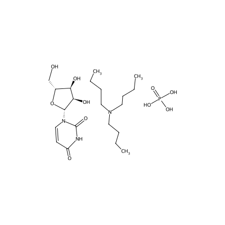 CCCCN(CCCC)CCCC.O=P(O)(O)O.O=c1ccn([C@@H]2O[C@H](CO)[C@@H](O)[C@H]2O)c(=O)[nH]1